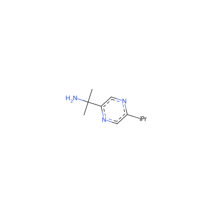 CC(C)c1cnc(C(C)(C)N)cn1